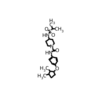 CC1CCC(Oc2ccc(NC(=O)N3CCC(NS(=O)(=O)C(C)C)CC3)cc2)C1C